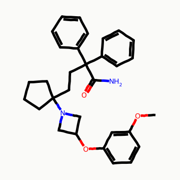 COc1cccc(OC2CN(C3(CCC(C(N)=O)(c4ccccc4)c4ccccc4)CCCC3)C2)c1